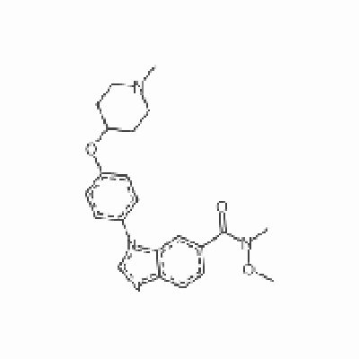 CON(C)C(=O)c1ccc2ncn(-c3ccc(OC4CCN(C)CC4)cc3)c2c1